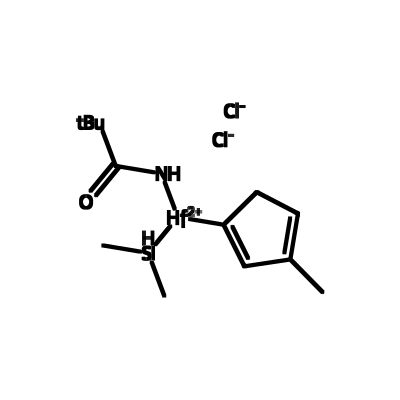 CC1=CC[C]([Hf+2]([NH]C(=O)C(C)(C)C)[SiH](C)C)=C1.[Cl-].[Cl-]